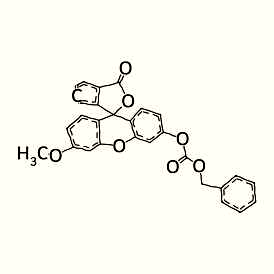 COc1ccc2c(c1)Oc1cc(OC(=O)OCc3ccccc3)ccc1C21OC(=O)c2ccccc21